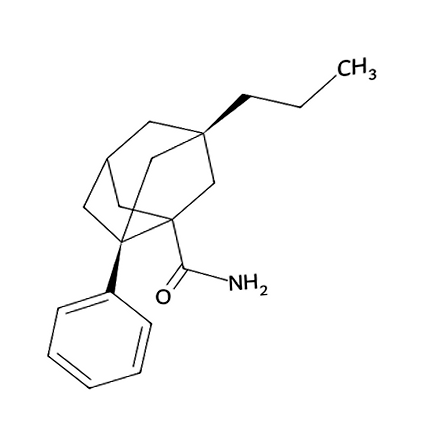 CCC[C@@]12CC3CC(C(N)=O)(C1)[C@](c1ccccc1)(C3)C2